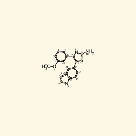 COc1cccc(-c2nc(N)sc2-c2ccc3ncsc3c2)c1